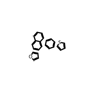 [c]1cccc2ccccc12.[c]1ccccc1.[c]1ccco1.c1ccsc1